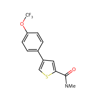 CNC(=O)c1cc(-c2ccc(OC(F)(F)F)cc2)cs1